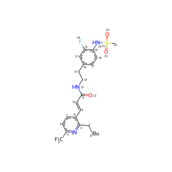 CCC(C)Cc1nc(C(F)(F)F)ccc1C=CC(=O)NCCc1ccc(NS(C)(=O)=O)c(F)c1